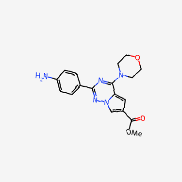 COC(=O)c1cc2c(N3CCOCC3)nc(-c3ccc(N)cc3)nn2c1